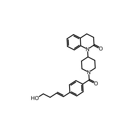 O=C(c1ccc(C=CCCO)cc1)N1CCC(N2C(=O)CCc3ccccc32)CC1